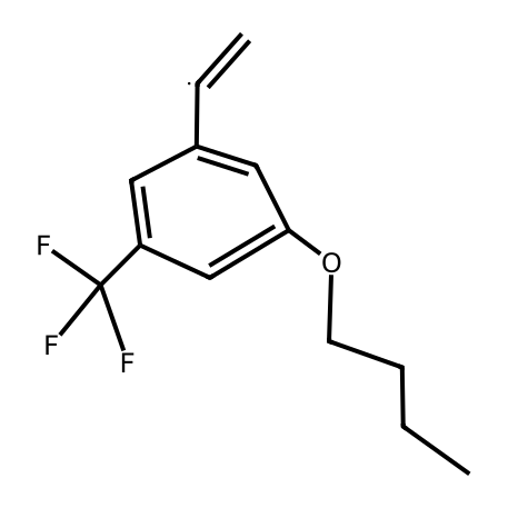 C=[C]c1cc(OCCCC)cc(C(F)(F)F)c1